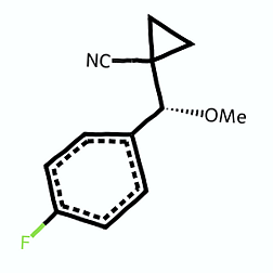 CO[C@H](c1ccc(F)cc1)C1(C#N)CC1